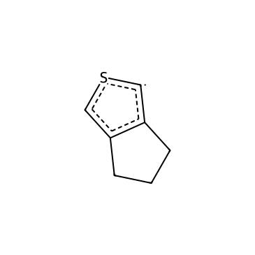 [c]1scc2c1CCC2